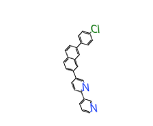 Clc1ccc(-c2ccc3ccc(-c4ccc(-c5cccnc5)nc4)cc3c2)cc1